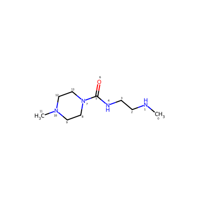 CNCCNC(=O)N1CCN(C)CC1